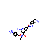 CCCN(OCc1ccc(N)cc1)C(=O)C1=Cc2ccc(C(=O)Nc3ccc4c(c3)CNCC4)cc2N=C(N)C1